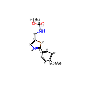 COc1ccc(-c2ncc(CNC(=O)OC(C)(C)C)s2)cc1